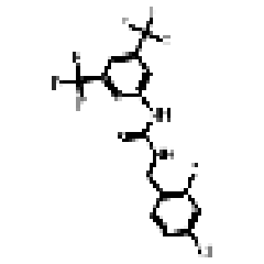 FC(F)(F)c1cc(NC(=S)NCc2ccc(Cl)cc2Cl)cc(C(F)(F)F)c1